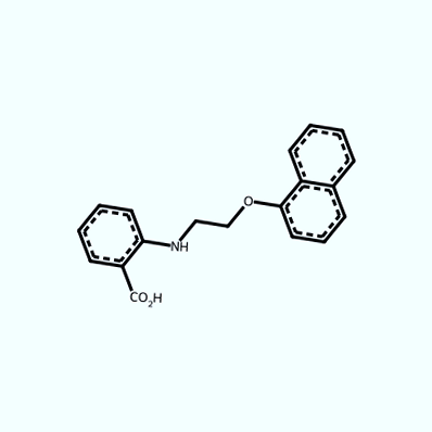 O=C(O)c1ccccc1NCCOc1cccc2ccccc12